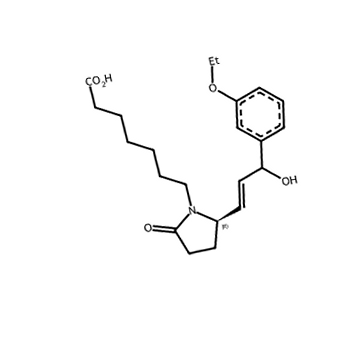 CCOc1cccc(C(O)C=C[C@H]2CCC(=O)N2CCCCCCC(=O)O)c1